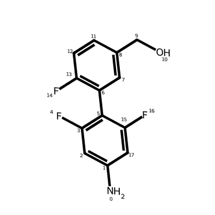 Nc1cc(F)c(-c2cc(CO)ccc2F)c(F)c1